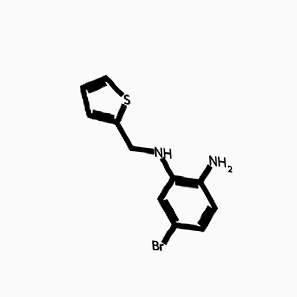 Nc1ccc(Br)cc1NCc1cccs1